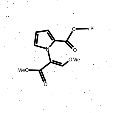 CCCOC(=O)c1cccn1/C(=C\OC)C(=O)OC